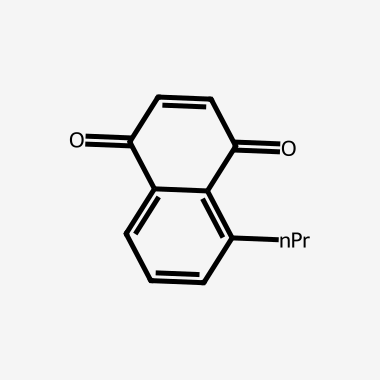 CCCc1cccc2c1C(=O)C=CC2=O